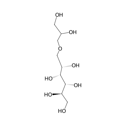 OCC(O)COC[C@H](O)[C@@H](O)[C@H](O)[C@H](O)CO